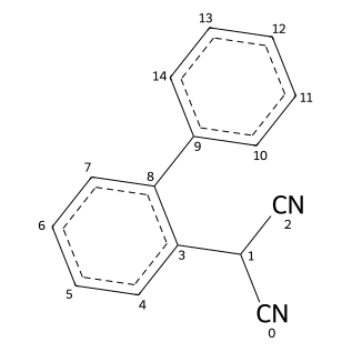 N#CC(C#N)c1ccccc1-c1ccccc1